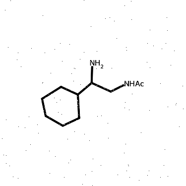 CC(=O)NCC(N)C1CCCCC1